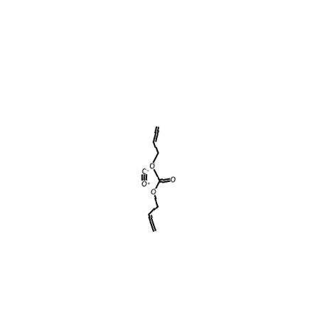 C=CCOC(=O)OCC=C.[C-]#[O+]